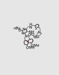 CCCCOc1nc(CNCc2ccc(CN3CCCC3)s2)c(NC(=O)OC(C)(C)C)c(N(Cc2ccc(OC)cc2)Cc2ccc(OC)cc2)n1